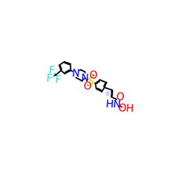 O=C(/C=C/c1ccc(S(=O)(=O)N2CCN(c3cccc(C(F)(F)F)c3)CC2)cc1)NO